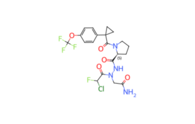 NC(=O)CN(NC(=O)[C@@H]1CCCN1C(=O)C1(c2ccc(OC(F)(F)F)cc2)CC1)C(=O)C(F)Cl